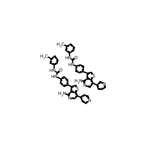 Cc1cccc(NC(=O)Nc2ccc(-c3csc4c(-c5cccnc5)cnc(N)c34)cc2)c1.Cc1cccc(NC(=O)Nc2ccc(-c3csc4c(-c5ccncc5)cnc(N)c34)cc2)c1